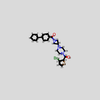 O=C(c1ccc(-c2ccccc2)cc1)N1CC(N2CCN(C(=O)c3sccc3Br)CC2)C1